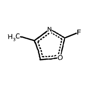 Cc1coc(F)n1